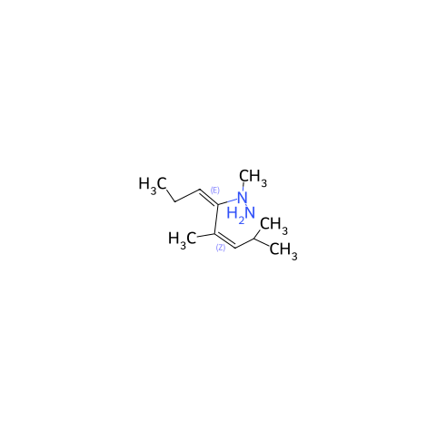 CC/C=C(\C(C)=C/C(C)C)N(C)N